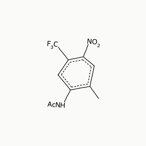 CC(=O)Nc1cc(C(F)(F)F)c([N+](=O)[O-])cc1C